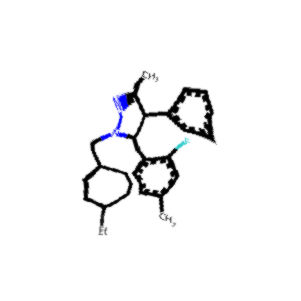 CCC1CCC(CN2N=C(C)C(c3ccccc3)C2c2ccc(C)cc2F)CC1